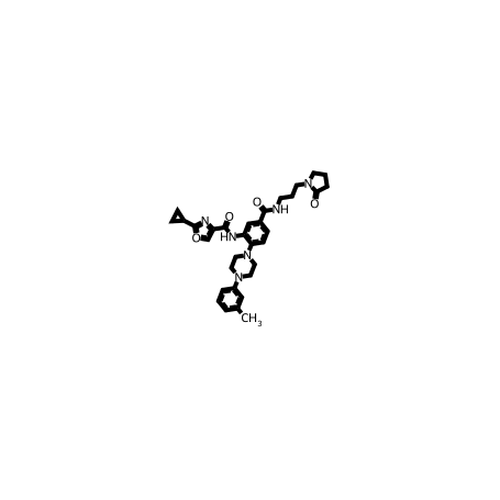 Cc1cccc(N2CCN(c3ccc(C(=O)NCCCN4CCCC4=O)cc3NC(=O)c3coc(C4CC4)n3)CC2)c1